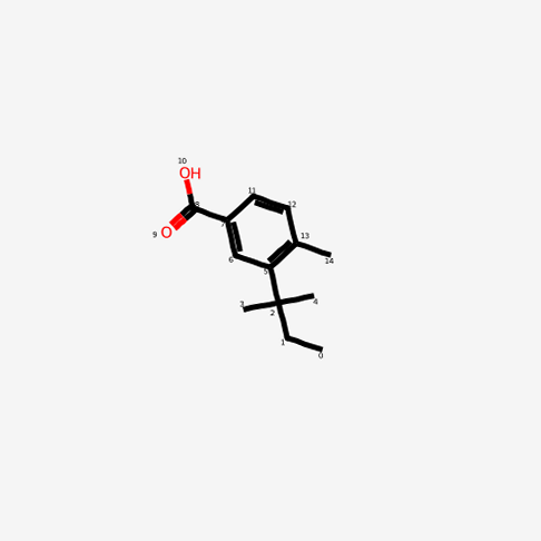 CCC(C)(C)c1cc(C(=O)O)ccc1C